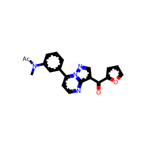 CC(=O)N(C)c1cccc(-c2ccnc3c(C(=O)c4ccco4)cnn23)c1